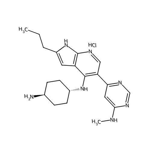 CCCc1cc2c(N[C@H]3CC[C@H](N)CC3)c(-c3cc(NC)ncn3)cnc2[nH]1.Cl